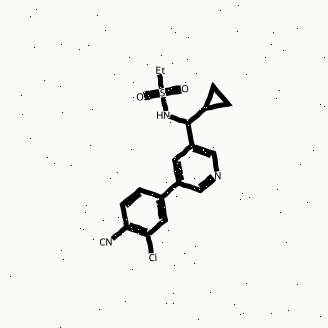 [C-]#[N+]c1ccc(-c2cncc(C(NS(=O)(=O)CC)C3CC3)c2)cc1Cl